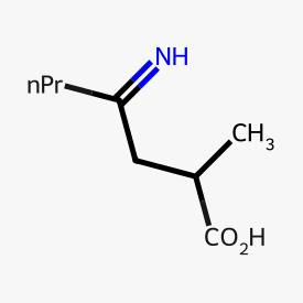 [CH2]CCC(=N)CC(C)C(=O)O